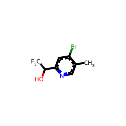 Cc1cnc(C(O)C(F)(F)F)cc1Br